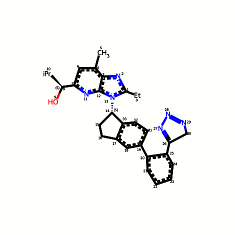 CCc1nc2c(C)cc([C@@H](O)C(C)C)nc2n1[C@H]1CCc2cc(-c3ccccc3C3=NN=NC3)ccc21